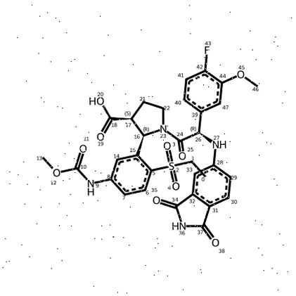 CCS(=O)(=O)c1ccc(NC(=O)OC)cc1[C@H]1[C@@H](C(=O)O)CCN1C(=O)[C@H](Nc1ccc2c(c1)C(=O)NC2=O)c1ccc(F)c(OC)c1